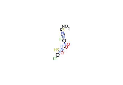 O=C(NCC1CN(c2ccc(N3CCN(c4ccc([N+](=O)[O-])s4)CC3)c(F)c2)C(=O)O1)N(S)c1ccc(Cl)cc1